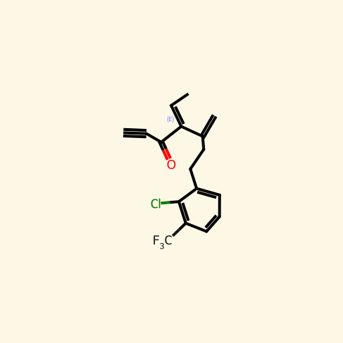 C#CC(=O)/C(=C/C)C(=C)CCc1cccc(C(F)(F)F)c1Cl